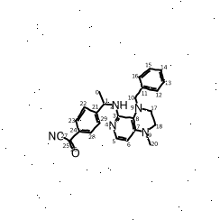 CC(Nc1nccc2c1N(Cc1ccccc1)CCN2C)c1ccc(C(=O)C#N)cc1